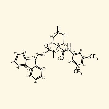 O=C(NC1(C(=O)Nc2cc(C(F)(F)F)cc(C(F)(F)F)c2)CCNCC1)OCC1c2ccccc2-c2ccccc21